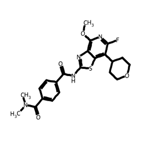 COc1nc(F)c(C2CCOCC2)c2sc(NC(=O)c3ccc(C(=O)N(C)C)cc3)nc12